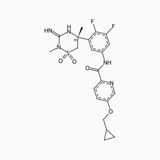 CN1C(=N)N[C@](C)(c2cc(NC(=O)c3ccc(OCC4CC4)cn3)cc(F)c2F)CS1(=O)=O